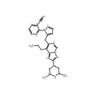 CCCc1c(Cc2ccnn2-c2ncccc2C#N)ncn2nc(N3CC(C)OC(C)C3)nc12